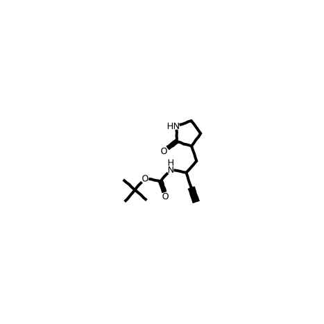 C#CC(CC1CCNC1=O)NC(=O)OC(C)(C)C